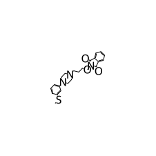 CSc1cccc(N2CCN(CCCON3C(=O)c4ccccc4C3=O)CC2)c1